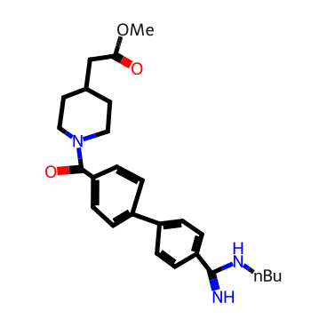 CCCCNC(=N)c1ccc(-c2ccc(C(=O)N3CCC(CC(=O)OC)CC3)cc2)cc1